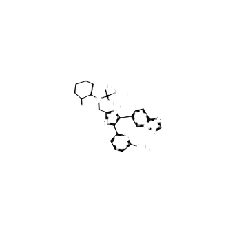 Cc1cccc(-c2nc(CN(C3CCCCC3C)C(C)(C)C)[nH]c2-c2ccc3ncnn3c2)n1